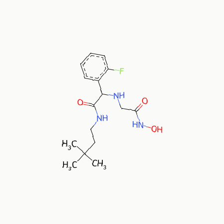 CC(C)(C)CCNC(=O)C(NCC(=O)NO)c1ccccc1F